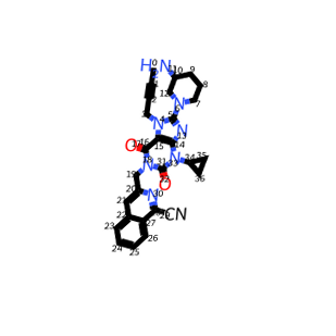 CC#CCn1c(N2CCCC(N)C2)nc2c1c(=O)n(Cc1cc3ccccc3c(C#N)n1)c(=O)n2C1CC1